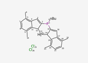 CCCCP1C2=Cc3c(C)ccc(C)c3[CH]2[Hf+2][CH]2C1=Cc1c(C)ccc(C)c12.[Cl-].[Cl-]